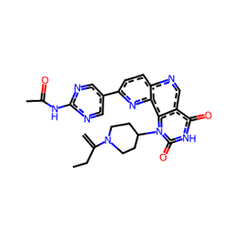 C=C(CC)N1CCC(n2c(=O)[nH]c(=O)c3cnc4ccc(-c5cnc(NC(C)=O)nc5)nc4c32)CC1